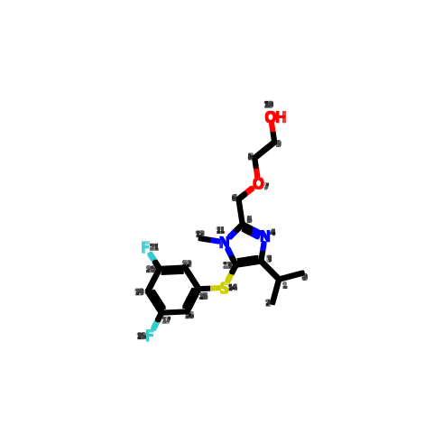 CC(C)c1nc(COCCO)n(C)c1Sc1cc(F)cc(F)c1